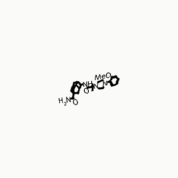 COc1ccccc1N1CCN(C(C)(C)C(=O)NC2C3CC4CC2CC(C(N)=O)(C4)C3)CC1